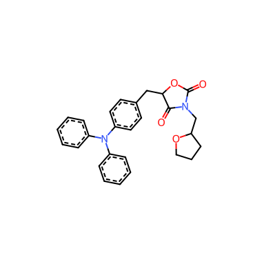 O=C1OC(Cc2ccc(N(c3ccccc3)c3ccccc3)cc2)C(=O)N1CC1CCCO1